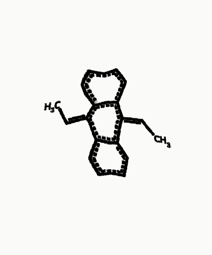 CC=c1c2ccccc2c(=CC)c2ccccc12